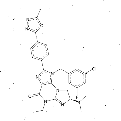 CCN1C(=O)c2nc(-c3ccc(-c4nnc(C)o4)cc3)n(Cc3cc(F)cc(Cl)c3)c2N2C[C@@H](C(C)C)N=C12